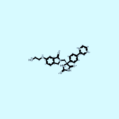 O=C1NC(=O)[C@@](CN2Cc3ccc(OCCO)cc3C2=O)(c2ccc(-c3cnccn3)cc2)N1